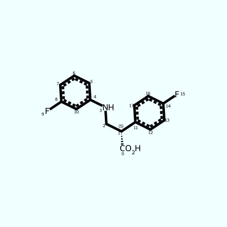 O=C(O)[C@H](CNc1cccc(F)c1)c1ccc(F)cc1